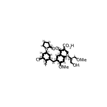 COC[C@@H](CO)n1cc(C(=O)O)c(=O)c2cc(Cc3cc(N4CCCC4=O)cc(Cl)c3F)c(OC)cc21